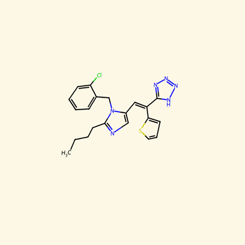 CCCCc1ncc(C=C(c2nnn[nH]2)c2cccs2)n1Cc1ccccc1Cl